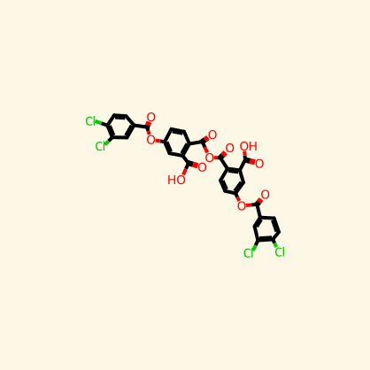 O=C(Oc1ccc(C(=O)OC(=O)c2ccc(OC(=O)c3ccc(Cl)c(Cl)c3)cc2C(=O)O)c(C(=O)O)c1)c1ccc(Cl)c(Cl)c1